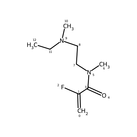 C=C(F)C(=O)N(C)CCN(C)CC